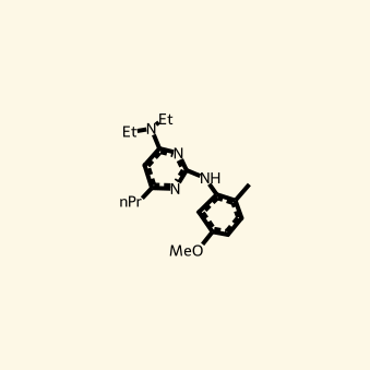 CCCc1cc(N(CC)CC)nc(Nc2cc(OC)ccc2C)n1